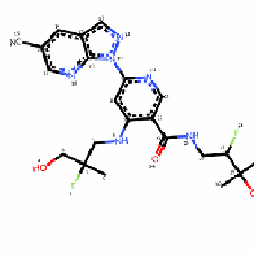 CC(F)(CO)CNc1cc(-n2ncc3cc(C#N)cnc32)ncc1C(=O)NCC(F)C(C)(C)O